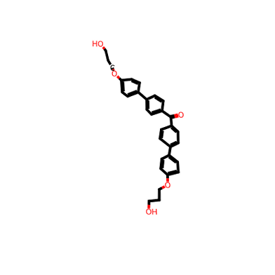 O=C(c1ccc(-c2ccc(OCCCO)cc2)cc1)c1ccc(-c2ccc(OCCCO)cc2)cc1